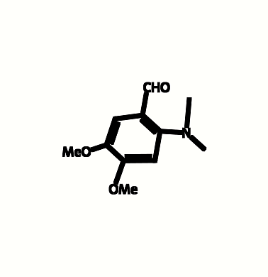 COc1cc(C=O)c(N(C)C)cc1OC